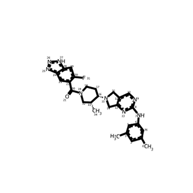 Cc1cc(C)cc(Nc2ncc3c(n2)CN([C@H]2CCN(C(=O)c4cc5nn[nH]c5cc4F)C[C@H]2C)C3)c1